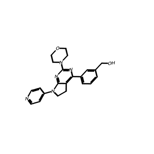 OCc1cccc(-c2nc(N3CCOCC3)nc3c2CCN3c2ccncc2)c1